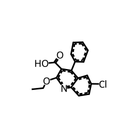 CCOc1nc2ccc(Cl)cc2c(-c2ccccc2)c1C(=O)O